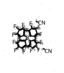 CC#N.CC#N.Fc1c(F)c(F)c([B-](c2c(F)c(F)c(F)c(F)c2F)(c2c(F)c(F)c(F)c(F)c2F)c2c(F)c(F)c(F)c(F)c2F)c(F)c1F